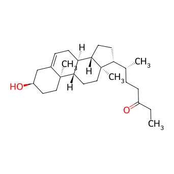 CCC(=O)CC[C@@H](C)[C@H]1CC[C@H]2[C@@H]3CC=C4C[C@H](O)CC[C@]4(C)[C@H]3CC[C@]12C